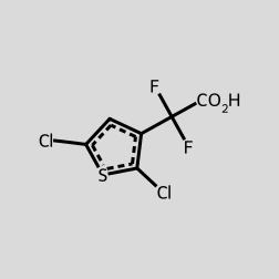 O=C(O)C(F)(F)c1cc(Cl)sc1Cl